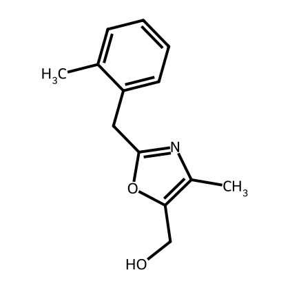 Cc1ccccc1Cc1nc(C)c(CO)o1